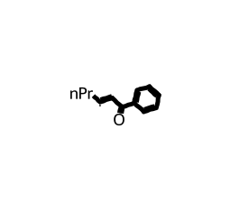 [CH2]CC[C]=CC(=O)c1ccccc1